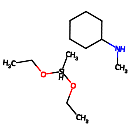 CCO[SiH](C)OCC.CNC1CCCCC1